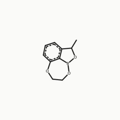 CC1OB2OCCOc3cccc1c32